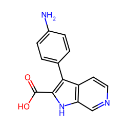 Nc1ccc(-c2c(C(=O)O)[nH]c3cnccc23)cc1